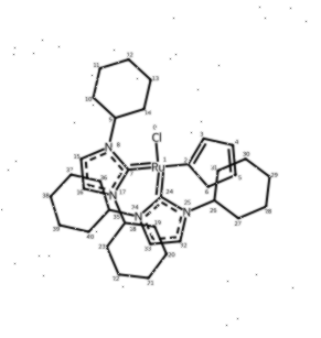 [Cl][Ru]([C]1=CC=CC1)(=[c]1n(C2CCCCC2)ccn1C1CCCCC1)=[c]1n(C2CCCCC2)ccn1C1CCCCC1